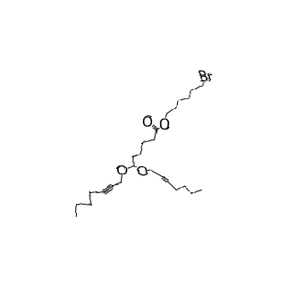 CCCCC#CCOC(CCCCC(=O)OCCCCCCBr)OCC#CCCCC